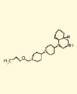 CCCOCC1CCC(N2CCC(N3CNC[C@H]4CCCC=C43)CC2)CC1